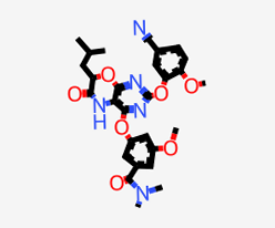 COc1cc(Oc2nc(Oc3cc(C#N)ccc3OC)nc3c2NC(=O)C(CC(C)C)O3)cc(C(=O)N(C)C)c1